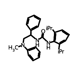 CC(C)c1cccc(C(C)C)c1NC(=O)NC(CN(C)c1ccccc1)c1ccccc1